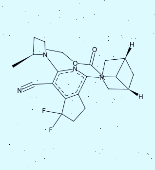 CCOC(=O)CC1[C@@H]2C[C@H]1CN(c1nc(N3CC[C@@H]3C)c(C#N)c3c1CCC3(F)F)C2